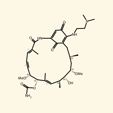 CO[C@H]1C[C@H](C)CC2=C(NCCN(C)C)C(=O)C=C(NC(=O)/C(C)=C/C=C\[C@@H](OC)[C@@H](OC(N)=O)/C(C)=C/[C@H](C)[C@H]1O)C2=O